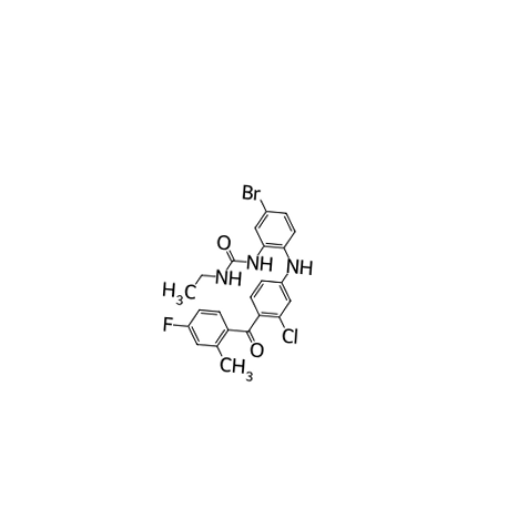 CCNC(=O)Nc1cc(Br)ccc1Nc1ccc(C(=O)c2ccc(F)cc2C)c(Cl)c1